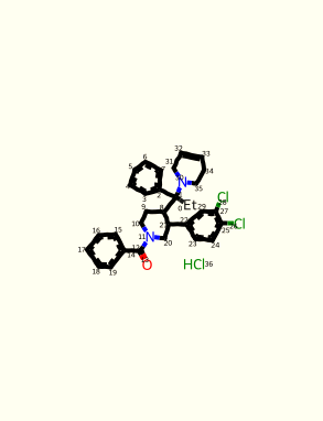 CCC(c1ccccc1)(C1CCN(C(=O)c2ccccc2)CC1c1ccc(Cl)c(Cl)c1)N1CC=CCC1.Cl